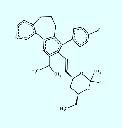 CC[C@H]1C[C@@H](/C=C/c2c(C(C)C)nc3c(c2-c2ccc(F)cc2)CCCc2ccncc2-3)OC(C)(C)O1